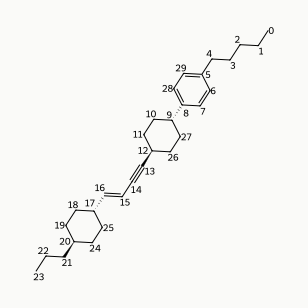 CCCCCc1ccc([C@H]2CC[C@H](C#C/C=C/[C@H]3CC[C@H](CCC)CC3)CC2)cc1